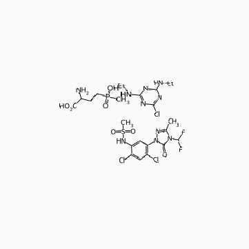 CCNc1nc(Cl)nc(NCC)n1.CP(=O)(O)CCC(N)C(=O)O.Cc1nn(-c2cc(NS(C)(=O)=O)c(Cl)cc2Cl)c(=O)n1C(F)F